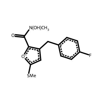 CSc1cc(Cc2ccc(F)cc2)c(C(=O)N(C)O)o1